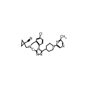 Cc1cncc(N2CCC(c3nnc4n3-c3ccc(Cl)cc3CN(CC3(C#N)CC3)C4)CC2)n1